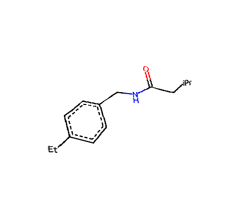 CCc1ccc(CNC(=O)CC(C)C)cc1